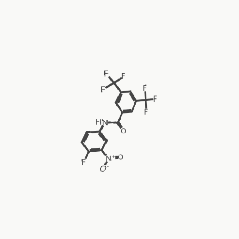 O=C(Nc1ccc(F)c([N+](=O)[O-])c1)c1cc(C(F)(F)F)cc(C(F)(F)F)c1